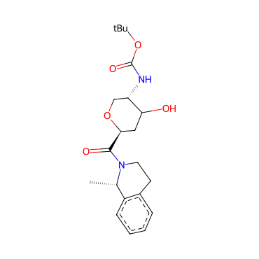 C[C@H]1c2ccccc2CCN1C(=O)[C@@H]1CC(O)[C@@H](NC(=O)OC(C)(C)C)CO1